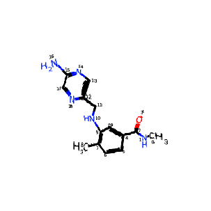 CNC(=O)c1ccc(C)c(NCc2cnc(N)cn2)c1